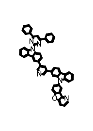 c1ccc(-c2cc(-c3ccccc3)nc(-n3c4ccccc4c4cc(-c5cncc(-c6ccc7c8ccccc8n(-c8ccc9oc%10cccnc%10c9c8)c7c6)c5)ccc43)n2)cc1